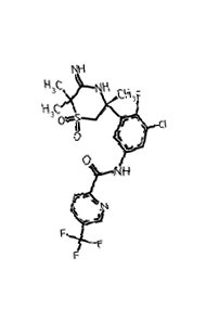 CC1(C)C(=N)N[C@](C)(c2cc(NC(=O)c3ccc(C(F)(F)F)cn3)cc(Cl)c2F)CS1(=O)=O